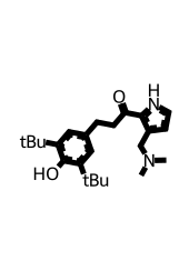 CN(C)Cc1cc[nH]c1C(=O)CCc1cc(C(C)(C)C)c(O)c(C(C)(C)C)c1